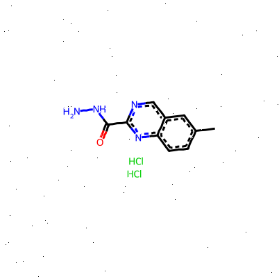 Cc1ccc2nc(C(=O)NN)ncc2c1.Cl.Cl